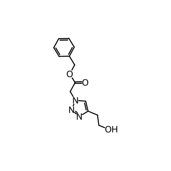 O=C(Cn1cc(CCO)nn1)OCc1ccccc1